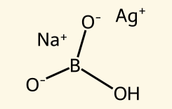 [Ag+].[Na+].[O-]B([O-])O